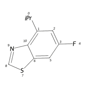 CC(C)c1cc(F)cc2scnc12